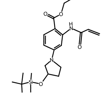 C=CC(=O)Nc1cc(N2CCC(O[Si](C)(C)C(C)(C)C)C2)ccc1C(=O)OCC